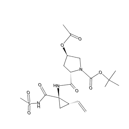 C=C[C@@H]1C[C@]1(NC(=O)[C@@H]1C[C@@H](OC(C)=O)CN1C(=O)OC(C)(C)C)C(=O)NS(C)(=O)=O